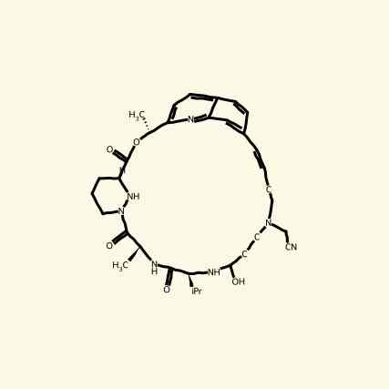 CC(C)[C@@H]1NC(O)CCN(CC#N)CC/C=C/c2ccc3ccc(nc3c2)[C@@H](C)OC(=O)[C@@H]2CCCN(N2)C(=O)[C@H](C)NC1=O